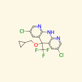 FC(F)(F)C1(OCC2CC2)c2cc(Cl)cnc2Nc2ncc(Cl)cc21